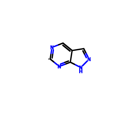 [c]1ncc2cn[nH]c2n1